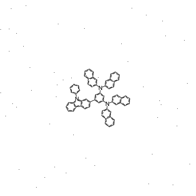 c1ccc(-n2c3ccccc3c3ccc(-c4cc(N(c5ccc6ccccc6c5)c5ccc6ccccc6c5)cc(N(c5ccc6ccccc6c5)c5ccc6ccccc6c5)c4)cc32)cc1